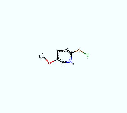 COc1ccc(SCl)nc1